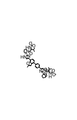 COC(=O)N[C@H](C(=O)N1CCC[C@H]1c1nc(-c2ccc(-c3ccc(-c4c[nH]c(C56CCC(CN5C(=O)[C@@H](NC(=O)OC)C(C)C)C6)n4)cc3)c3cc(C)oc23)c[nH]1)C(C)C